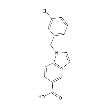 O=C(O)c1ccc2c(ccn2Cc2cccc(Cl)c2)c1